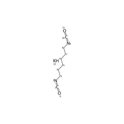 O=C=NCCCCCCN=C=O.[KH]